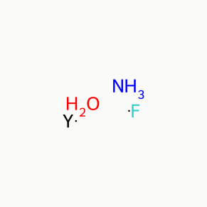 N.O.[F].[Y]